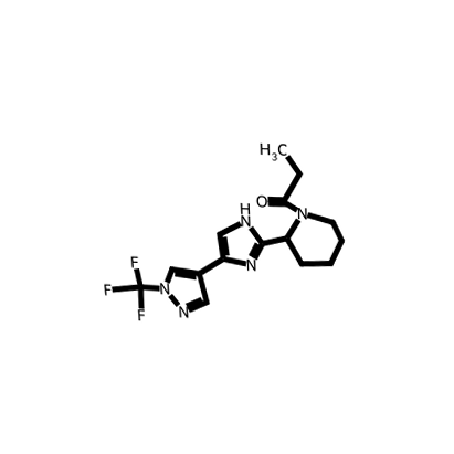 CCC(=O)N1CCCCC1c1nc(-c2cnn(C(F)(F)F)c2)c[nH]1